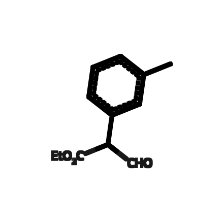 CCOC(=O)C(C=O)c1cccc(C)c1